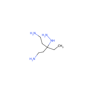 CCC(CCN)(CCN)NN